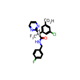 O=C(O)c1cc(Cl)cc([AsH](C(=O)NCc2ccc(F)cc2)(c2ncccn2)C(F)(F)F)c1